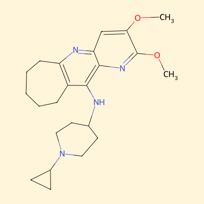 COc1cc2nc3c(c(NC4CCN(C5CC5)CC4)c2nc1OC)CCCCC3